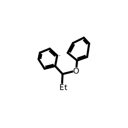 CCC(Oc1ccccc1)c1[c]cccc1